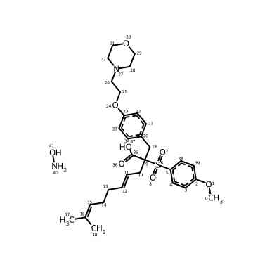 COc1ccc(S(=O)(=O)C(CC=CCCC=C(C)C)(Cc2ccc(OCCN3CCOCC3)cc2)C(=O)O)cc1.NO